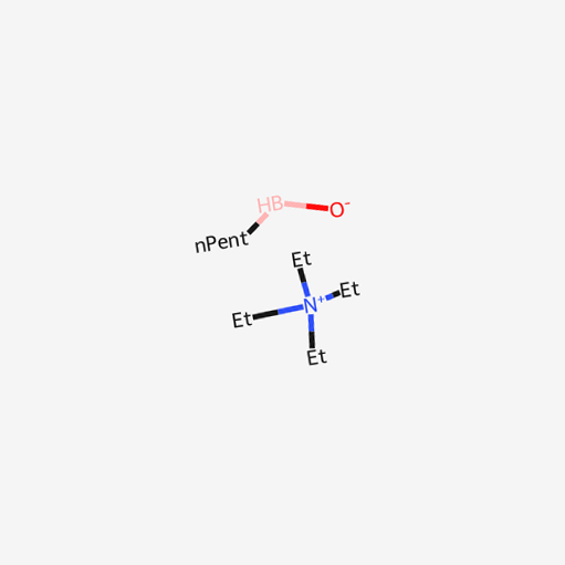 CCCCCB[O-].CC[N+](CC)(CC)CC